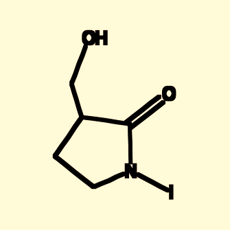 O=C1C(CO)CCN1I